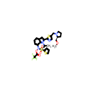 COC[C@@H]1CCCN1Cc1cnc(-c2cc3cccc(N(OC(=O)C(F)(F)F)S(=O)(=O)c4cccs4)c3n2C(C)C)s1